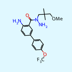 COCC(C)(C)CN(N)C(=O)c1cc(-c2ccc(OC(F)(F)F)cc2)ccc1N